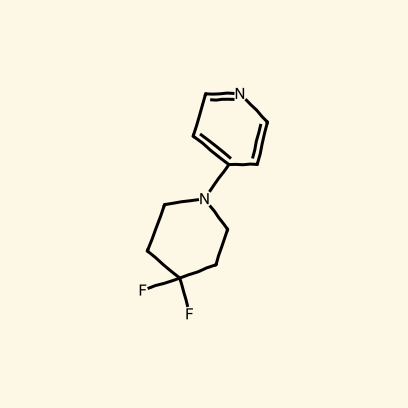 FC1(F)CCN(c2ccncc2)CC1